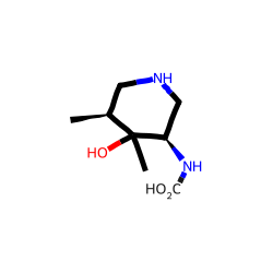 C[C@H]1CNC[C@@H](NC(=O)O)C1(C)O